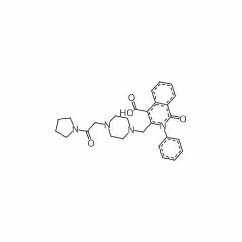 O=C(O)c1c(CN2CCN(CC(=O)N3CCCC3)CC2)n(-c2ccccc2)c(=O)c2ccccc12